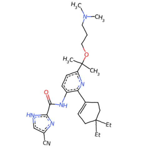 CCC1(CC)CC=C(c2nc(C(C)(C)OCCCN(C)C)ccc2NC(=O)c2nc(C#N)c[nH]2)CC1